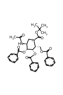 CC(=O)N[C@H]1CN(C(=O)OC(C)(C)C)[C@H](COC(=O)c2ccccc2)[C@H](OC(=O)c2ccccc2)[C@@H]1OC(=O)c1ccccc1